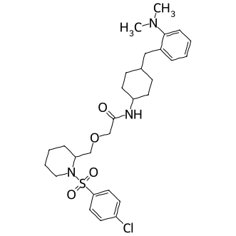 CN(C)c1ccccc1CC1CCC(NC(=O)COCC2CCCCN2S(=O)(=O)c2ccc(Cl)cc2)CC1